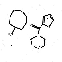 NC1CCCCCCC1.O=C(c1ccco1)N1CCNCC1